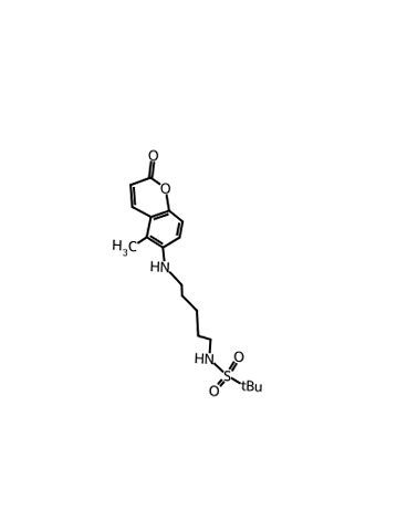 Cc1c(NCCCCCNS(=O)(=O)C(C)(C)C)ccc2oc(=O)ccc12